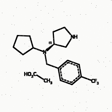 CC(=O)O.FC(F)(F)c1ccc(CN(C2CCCC2)[C@H]2CCNC2)cc1